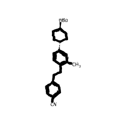 CCCC[C@H]1CC[C@H](c2ccc(CCc3ccc(C#N)cc3)c(C)c2)CC1